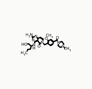 CCCC(CO)Nc1nc(N)nc2ccn(Cc3ccc(C(=O)N4CCN(C)CC4)cc3OC)c(=O)c12